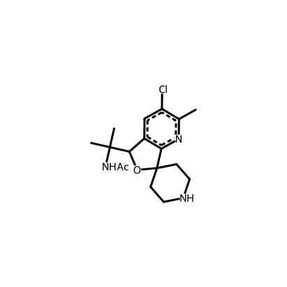 CC(=O)NC(C)(C)C1OC2(CCNCC2)c2nc(C)c(Cl)cc21